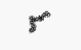 c1ccc2c(c1)oc1ccc(-c3nsc(-c4ccc(-n5c6ccccc6c6ccc(-c7ccc8sc9ccccc9c8c7)cc65)cc4)n3)cc12